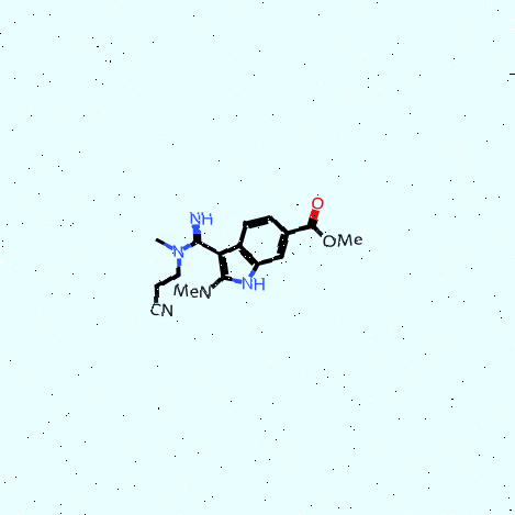 CNc1[nH]c2cc(C(=O)OC)ccc2c1C(=N)N(C)CCC#N